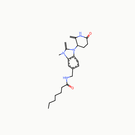 C=C1NC(=O)CCC1N1C(=C)N(C)c2cc(CNC(=O)CCCCCC)ccc21